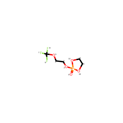 O=P1(OCCOC(F)(F)F)OCCO1